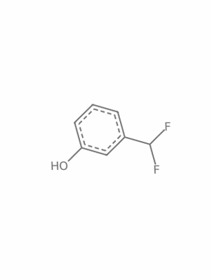 Oc1cccc(C(F)F)c1